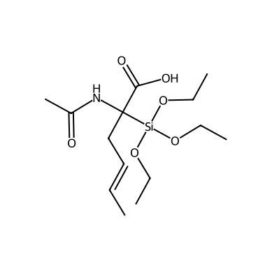 C/C=C/CC(NC(C)=O)(C(=O)O)[Si](OCC)(OCC)OCC